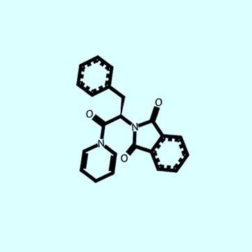 O=C([C@@H](Cc1ccccc1)N1C(=O)c2ccccc2C1=O)N1C=CCC=C1